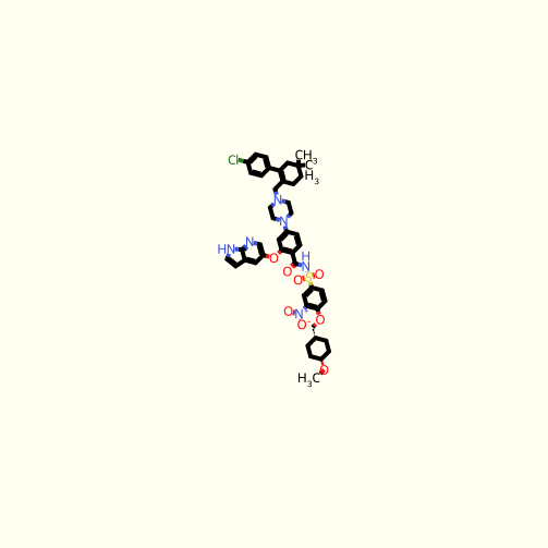 CO[C@H]1CC[C@H](COc2ccc(S(=O)(=O)NC(=O)c3ccc(N4CCN(CC5=C(c6ccc(Cl)cc6)CC(C)(C)CC5)CC4)cc3Oc3cnc4[nH]ccc4c3)cc2[N+](=O)[O-])CC1